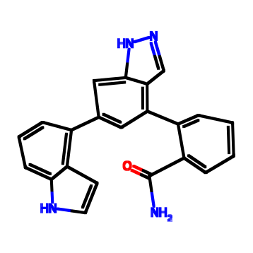 NC(=O)c1ccccc1-c1cc(-c2cccc3[nH]ccc23)cc2[nH]ncc12